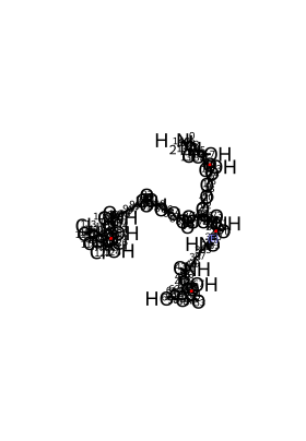 Cc1cn(C2CC(O)C(COP(=O)(O)OCCOCCOCCO[C@@H]3C[C@H](n4cc(/C=C/C(=O)NCCCCCCNC(=O)c5ccc(-c6c7ccc(=O)cc-7oc7cc(O)ccc67)c(C(=O)O)c5)c(=O)[nH]c4=O)O[C@@H]3COP(=O)(O)OCCOCCOCCOP(=O)(O)OCCCCCCNC(=O)c3c(Cl)cc(-c4c5cc(Cl)c(=O)c(Cl)c-5oc5c(Cl)c(O)c(Cl)cc45)c(C(=O)O)c3Cl)O2)c(=O)nc1N